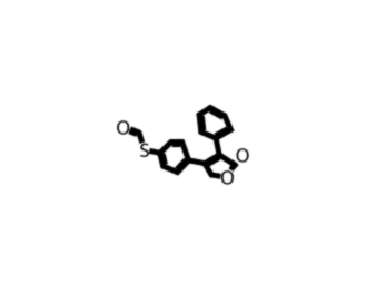 O=CSc1ccc(C2=C(c3ccccc3)C(=O)OC2)cc1